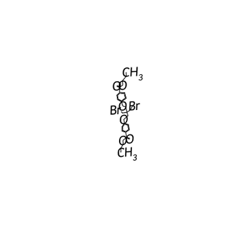 CCCOC(=O)c1ccc(OCC(CBr)(CBr)COc2ccc(C(=O)OCCC)cc2)cc1